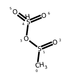 CS(=O)O[SH](=O)=O